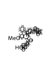 COc1ccc2c(c1)C=C(C(=O)N1CC(OP(=O)(O)O)C1)Cn1c-2c(C2CCCCC2)c2ccc(C(=O)NS(=O)(=O)N(C)C)cc21